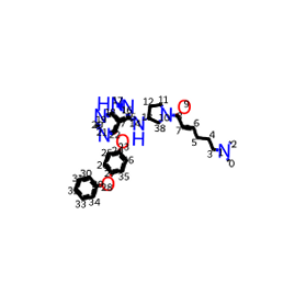 CN(C)CCC/C=C/C(=O)N1CC[C@@H](Nc2n[nH]c3ncnc(Oc4ccc(Oc5ccccc5)cc4)c23)C1